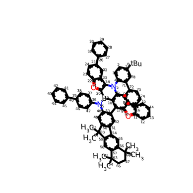 CC(C)(C)c1ccc(N2c3cc4c(oc5ccccc54)c4c3B(c3oc5ccc(-c6ccccc6)cc5c32)N(c2ccc(-c3ccccc3)cc2)c2cc3c(cc2-4)-c2cc4c(cc2C3(C)C)C(C)(C)CCC4(C)C)c(-c2ccccc2)c1